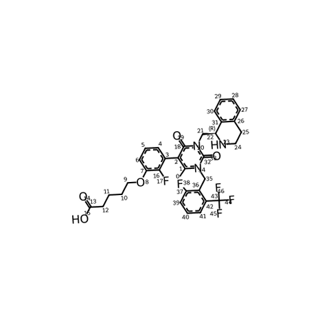 Cc1c(-c2cccc(OCCCCC(=O)O)c2F)c(=O)n(C[C@@H]2NCCc3ccccc32)c(=O)n1Cc1c(F)cccc1C(F)(F)F